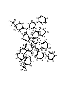 CC(C)(C)c1ccc(N(c2ccc(-c3ccccc3)cc2)c2ccc3c(c2)C2(c4ccc5c(c4-c4c2ccc2ccccc42)CCCC5)c2cc(N(c4ccc(-c5ccccc5)cc4)c4ccc(C(C)(C)C)cc4)c4c(oc5ccccc54)c2-3)cc1